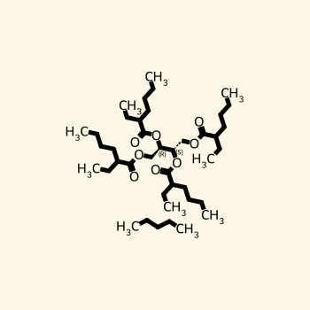 CCCCC.CCCCC(CC)C(=O)OC[C@H](OC(=O)C(CC)CCCC)[C@@H](COC(=O)C(CC)CCCC)OC(=O)C(CC)CCCC